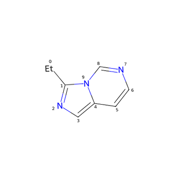 CCc1ncc2ccncn12